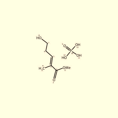 COC(=O)C(C)=CCCO.O=P(O)(O)O